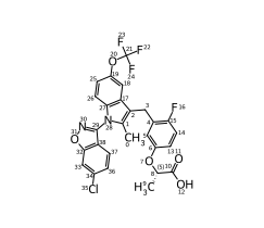 Cc1c(Cc2cc(O[C@@H](C)C(=O)O)ccc2F)c2cc(OC(F)(F)F)ccc2n1-c1noc2cc(Cl)ccc12